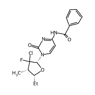 CC[C@H]1O[C@@H](n2ccc(NC(=O)c3ccccc3)nc2=O)C(F)(Cl)[C@H]1C